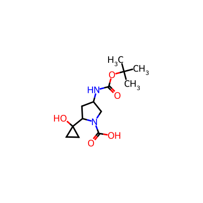 CC(C)(C)OC(=O)NC1CC(C2(O)CC2)N(C(=O)O)C1